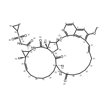 COc1cc2ccnc3c2cc1/C=C/CCCCCC(=O)N[C@H]1CCCCC/C=C\[C@@H]2C[C@@]2(C(=O)NS(=O)(=O)C2CC2)NC(=O)[C@@H]2C[C@H](CN2C1=O)O3